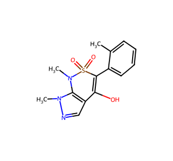 Cc1ccccc1C1=C(O)c2cnn(C)c2N(C)S1(=O)=O